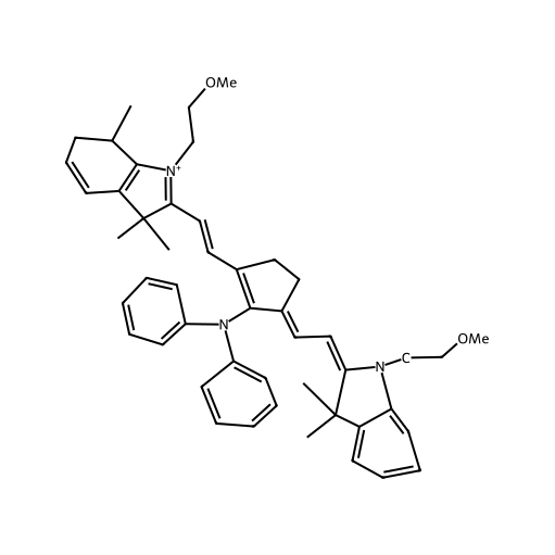 COCCN1/C(=C/C=C2\CCC(/C=C/C3=[N+](CCOC)C4=C(C=CCC4C)C3(C)C)=C2N(c2ccccc2)c2ccccc2)C(C)(C)c2ccccc21